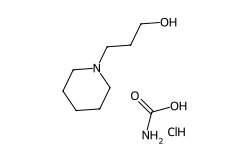 Cl.NC(=O)O.OCCCN1CCCCC1